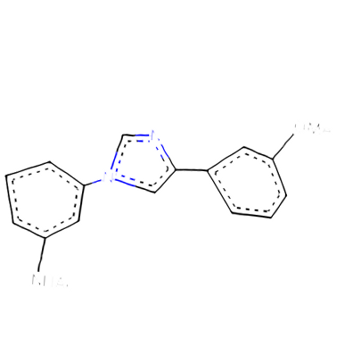 COc1cccc(-c2cn(-c3cccc(NC(C)=O)c3)cn2)c1